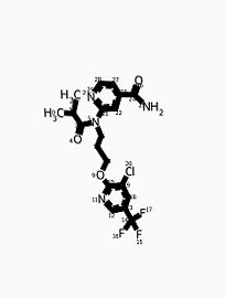 CC(C)C(=O)N(CCCOc1ncc(C(F)(F)F)cc1Cl)c1cc(C(N)=O)ccn1